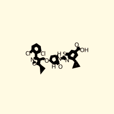 O=C(O)c1cc(C2CC2)c2nc(N3C(=O)[C@@H]4C[C@H]3C[C@H]4OCc3c(-c4c(Cl)cccc4Cl)noc3C3CC3)sc2c1